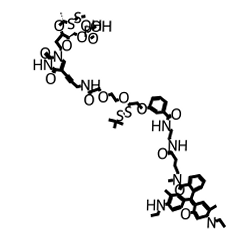 CC/N=c1/cc2oc3cc(NCC)c(C)cc3c(-c3ccccc3C(=O)N(C)CCCC(=O)NCCNC(=O)c3cccc(OCC(OCCOCC(=O)NCC#Cc4cn([C@H]5CC(O[C@H](C)SSC)[C@@H](COP(=O)(O)O)O5)c(=O)[nH]c4=O)SSC(C)(C)C)c3)c-2cc1C